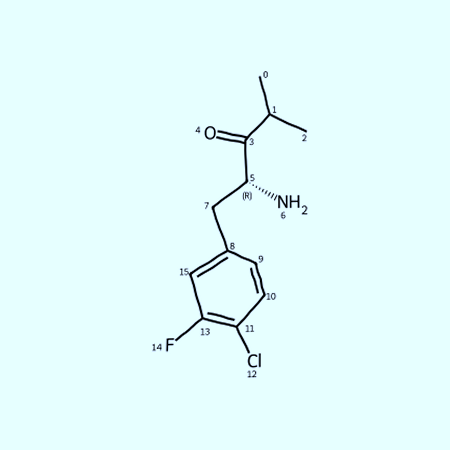 CC(C)C(=O)[C@H](N)Cc1ccc(Cl)c(F)c1